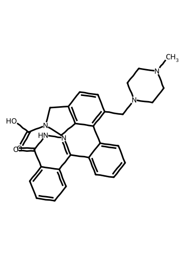 CN1CCN(Cc2ccc3c(c2-c2ccccc2-c2n[nH]c(=O)c4ccccc24)CN(C(=O)O)C3)CC1